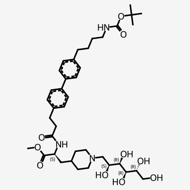 COC(=O)[C@H](CC1CCN(C[C@H](O)[C@@H](O)[C@H](O)[C@H](O)CO)CC1)NC(=O)CCc1ccc(-c2ccc(CCCCNC(=O)OC(C)(C)C)cc2)cc1